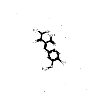 COc1cc(C=C(C(=O)O)C(=O)C(C)O)ccc1O